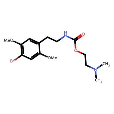 COc1cc(CCNC(=O)OCCN(C)C)c(OC)cc1Br